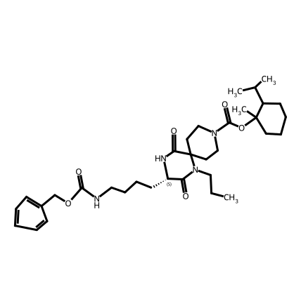 CCCN1C(=O)[C@H](CCCCNC(=O)OCc2ccccc2)NC(=O)C12CCN(C(=O)OC1(C)CCCCC1C(C)C)CC2